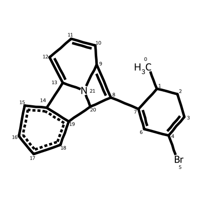 CC1CC=C(Br)C=C1C1=C2C=CC=C3c4ccccc4C1N32